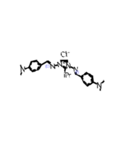 CC(C)c1n(/N=C/c2ccc(N(C)C)cc2)cc[n+]1/N=C/c1ccc(N(C)C)cc1.[Cl-]